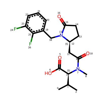 CC(C)[C@@H](C(=O)O)N(C)C(=O)C[C@@H]1CCC(=O)N1Cc1cccc(F)c1F